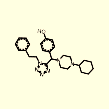 Oc1ccc(C(c2nnnn2CCc2ccccc2)N2CCN(C3CCCCC3)CC2)cc1